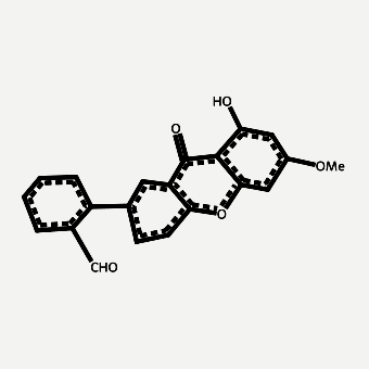 COc1cc(O)c2c(=O)c3cc(-c4ccccc4C=O)ccc3oc2c1